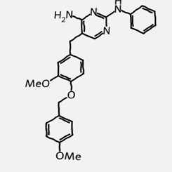 COc1ccc(COc2ccc(Cc3cnc(Nc4ccccc4)nc3N)cc2OC)cc1